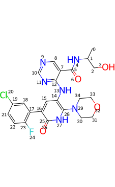 CC(CO)NC(=O)c1cncnc1Nc1cc(-c2cc(Cl)ccc2F)c(=O)[nH]c1N1CCOCC1